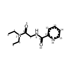 CCN(CC)C(=O)CNC(=O)c1ccccn1